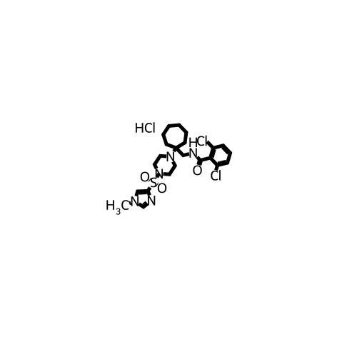 Cl.Cn1cnc(S(=O)(=O)N2CCN(C3(CNC(=O)c4c(Cl)cccc4Cl)CCCCCC3)CC2)c1